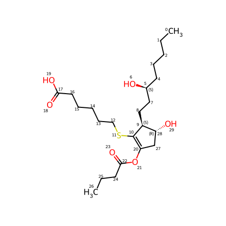 CCCCC[C@H](O)CC[C@@H]1C(SCCCCCC(=O)O)=C(OC(=O)CCC)C[C@H]1O